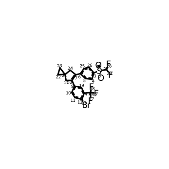 O=S(=O)(c1ccc(C2=C(c3ccc(Br)c(C(F)(F)F)c3)CC3(CC3)C2)cc1)C(F)F